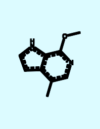 COc1ncc(C)c2cc[nH]c12